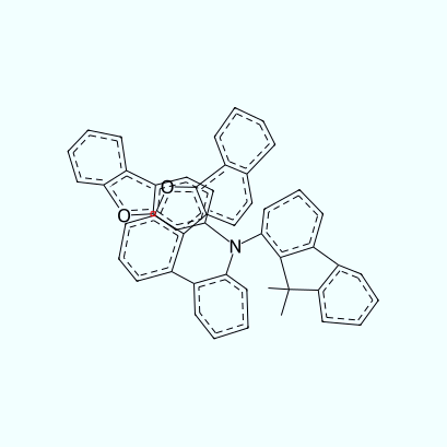 CC1(C)c2ccccc2-c2cccc(N(c3ccc4c(c3)oc3ccccc34)c3ccccc3-c3cccc4oc5c6ccccc6ccc5c34)c21